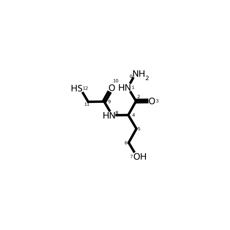 NNC(=O)C(CCO)NC(=O)CS